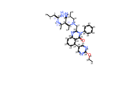 CC\C=C(N)/N=C(C)\C(C#N)=C(/C)N(CCC)Cc1nc2cccc(-c3cnc(OCC)nc3)c2c(=O)n1-c1ccccc1